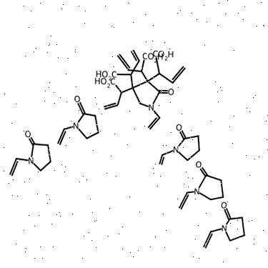 C=CC(C(=O)O)C1(C(C=C)C(=O)O)CN(C=C)C(=O)C1(C(C=C)C(=O)O)C(C=C)C(=O)O.C=CN1CCCC1=O.C=CN1CCCC1=O.C=CN1CCCC1=O.C=CN1CCCC1=O.C=CN1CCCC1=O